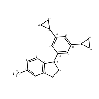 Cc1ccc2c(c1)CCN2c1cc(C2CC2)cc(C2CC2)c1